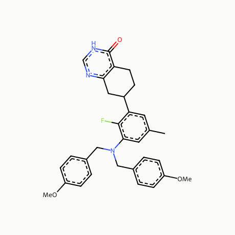 COc1ccc(CN(Cc2ccc(OC)cc2)c2cc(C)cc(C3CCc4c(nc[nH]c4=O)C3)c2F)cc1